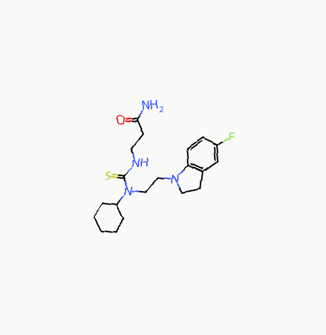 NC(=O)CCNC(=S)N(CCN1CCc2cc(F)ccc21)C1CCCCC1